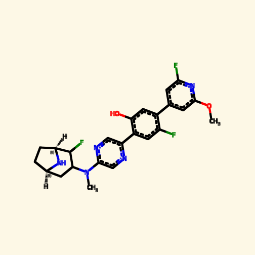 COc1cc(-c2cc(O)c(-c3cnc(N(C)C4C[C@H]5CC[C@H](N5)C4F)cn3)cc2F)cc(F)n1